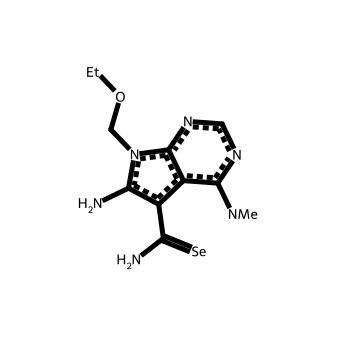 CCOCn1c(N)c(C(N)=[Se])c2c(NC)ncnc21